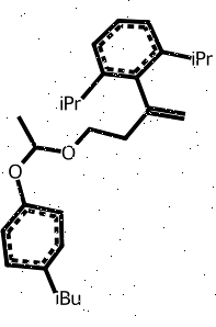 C=C(CCOC(C)Oc1ccc(C(C)CC)cc1)c1c(C(C)C)cccc1C(C)C